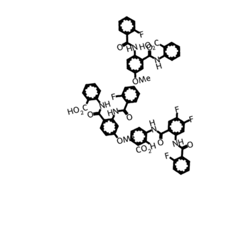 COc1ccc(C(=O)Nc2ccccc2C(=O)O)c(NC(=O)c2ccccc2F)c1.COc1ccc(NC(=O)c2ccccc2F)c(C(=O)Nc2ccccc2C(=O)O)c1.O=C(Nc1cc(F)c(F)cc1C(=O)Nc1ccccc1C(=O)O)c1ccccc1F